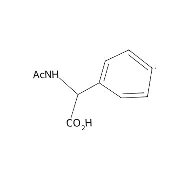 CC(=O)NC(C(=O)O)c1cc[c]cc1